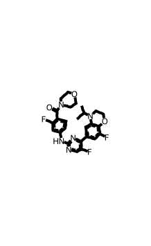 CC(C)N1CCOc2c(F)cc(-c3nc(Nc4ccc(C(=O)N5CCOCC5)c(F)c4)ncc3F)cc21